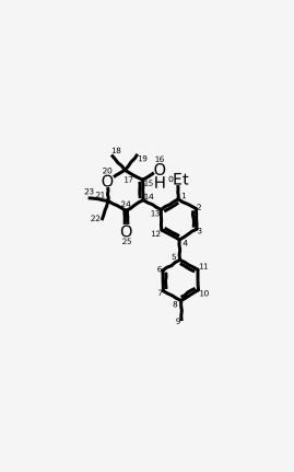 CCc1ccc(-c2ccc(C)cc2)cc1C1=C(O)C(C)(C)OC(C)(C)C1=O